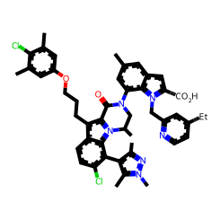 CCc1ccnc(Cn2c(C(=O)O)cc3cc(C)cc(N4CC(C)n5c(c(CCCOc6cc(C)c(Cl)c(C)c6)c6ccc(Cl)c(-c7c(C)nn(C)c7C)c65)C4=O)c32)c1